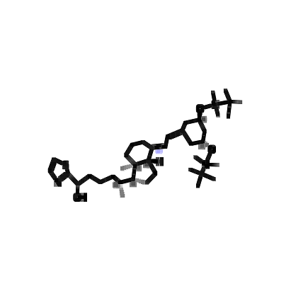 C[C@H](CCCC(O)c1nccs1)[C@H]1CC[C@H]2/C(=C/C=C3C[C@@H](O[Si](C)(C)C(C)(C)C)C[C@H](O[Si](C)(C)C(C)(C)C)C3)CCC[C@]12C